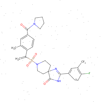 C=C(c1ccc(C(=O)N2CCCC2)cc1C)S(=O)(=O)N1CCC2(CC1)N=C(c1ccc(F)c(C(F)(F)F)c1)NC2=O